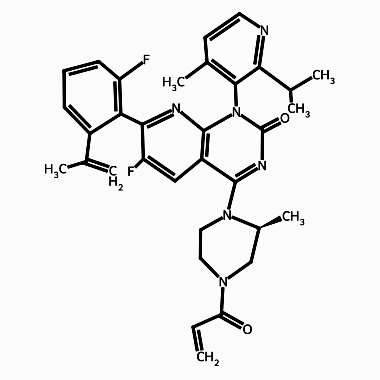 C=CC(=O)N1CCN(c2nc(=O)n(-c3c(C)ccnc3C(C)C)c3nc(-c4c(F)cccc4C(=C)C)c(F)cc23)[C@@H](C)C1